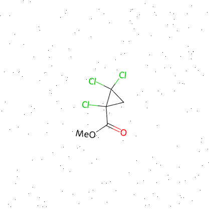 COC(=O)C1(Cl)CC1(Cl)Cl